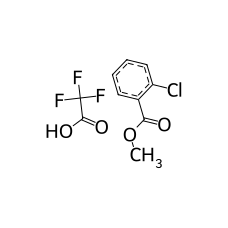 COC(=O)c1ccccc1Cl.O=C(O)C(F)(F)F